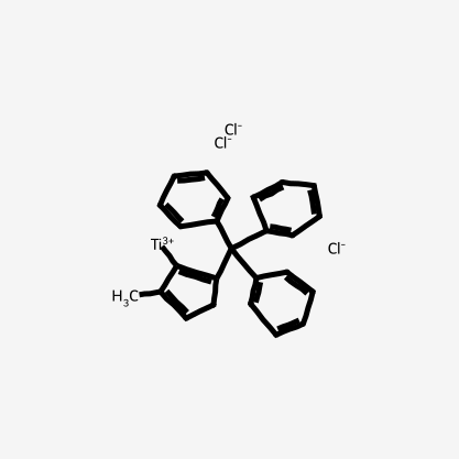 CC1=CCC(C(c2ccccc2)(c2ccccc2)c2ccccc2)=[C]1[Ti+3].[Cl-].[Cl-].[Cl-]